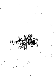 NCC(=O)NCC(=O)NCC(=O)NCC(=O)NC(CC(=O)O)C(=O)NC(CC(=O)O)C(=O)NC(CCCCNC(=O)c1ccc(C=O)cc1)C(N)=O